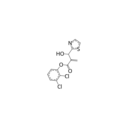 C=C(C(=O)Oc1cccc(Cl)c1Cl)C(O)c1nccs1